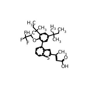 CCC(C)(C)c1cc(-c2cccc3sc(/C(C)=C/C(=O)O)cc23)c(OCC(F)(F)F)c(C(C)(C)CC)c1